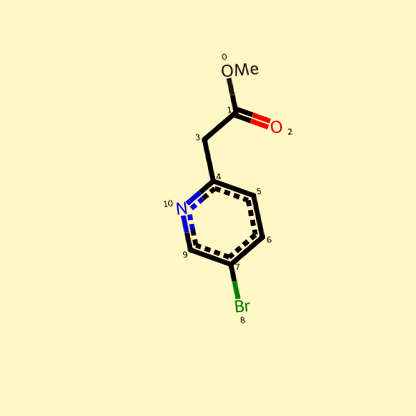 COC(=O)Cc1ccc(Br)cn1